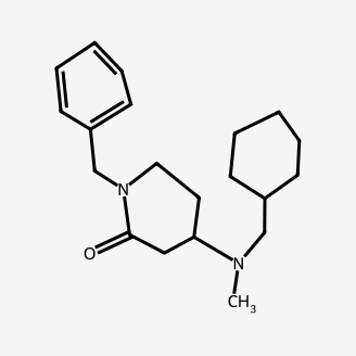 CN(CC1CCCCC1)C1CCN(Cc2ccccc2)C(=O)C1